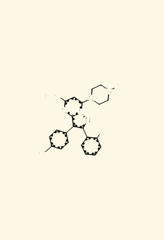 CC(=O)N1CCN(c2cc(C)nc3c(-c4ccc(Cl)cc4)c(-c4ccccc4Cl)nn23)CC1